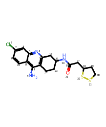 Nc1c2c(nc3cc(Cl)ccc13)CC(NC(=O)CC1CCSS1)CC2